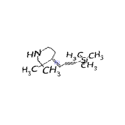 CC1(C)CNCC/C1=C\C#C[Si](C)(C)C